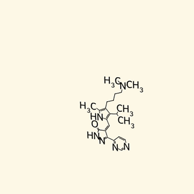 Cc1[nH]c(C=C2C(=O)NN=C2c2ccncn2)c(C(C)C)c1CCCCN(C)C